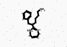 NCCCCC(Cc1ccccc1)C1=NCC=CCN1